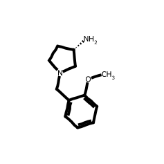 COc1ccccc1CN1CC[C@H](N)C1